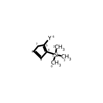 C[Si](C)(C)C1=[C]([Y])CC=C1